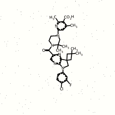 Cc1cc(N2CCN(C(=O)c3cnc4c(n3)C3(CN4c4ccc(Cl)c(F)c4)CC(C)(C)C3)C(C)(C)C2)nc(C)c1C(=O)O